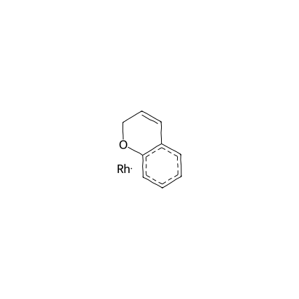 C1=Cc2ccccc2OC1.[Rh]